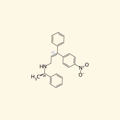 C[C@@H](NC/C=C(/c1ccccc1)c1ccc([N+](=O)[O-])cc1)c1ccccc1